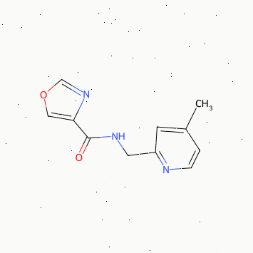 Cc1ccnc(CNC(=O)c2cocn2)c1